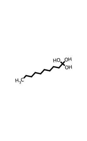 CCCCCCCCCC(O)(O)O